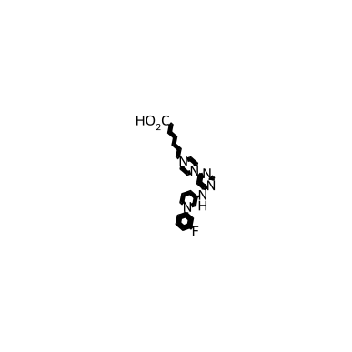 O=C(O)CCCCCCN1CCN(c2cc(N[C@@H]3CCCN(c4cccc(F)c4)C3)ncn2)CC1